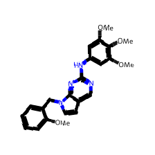 COc1ccccc1Cn1ccc2cnc(Nc3cc(OC)c(OC)c(OC)c3)nc21